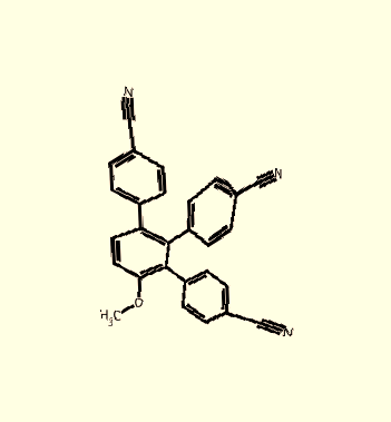 COc1ccc(-c2ccc(C#N)cc2)c(-c2ccc(C#N)cc2)c1-c1ccc(C#N)cc1